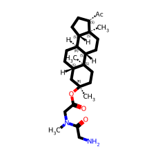 CC(=O)[C@H]1CC[C@H]2[C@@H]3CC[C@H]4C[C@](C)(OC(=O)CN(C)C(=O)CN)CC[C@]4(C)[C@H]3CC[C@]12C